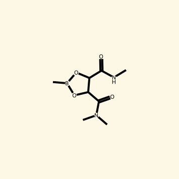 CNC(=O)C1OB(C)OC1C(=O)N(C)C